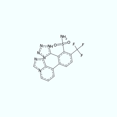 NS(=O)(=O)c1c(C(F)(F)F)ccc(-c2cccn3cncc23)c1-c1nnn[nH]1